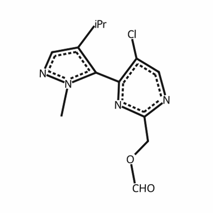 CC(C)c1cnn(C)c1-c1nc(COC=O)ncc1Cl